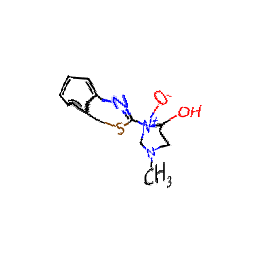 CN1CC(O)[N+]([O-])(c2nc3ccccc3s2)C1